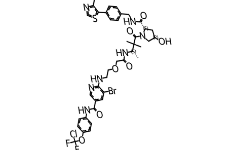 Cc1ncsc1-c1ccc(CNC(=O)[C@@H]2C[C@@H](O)CN2C(=O)C(C)(C)[C@H](C)NC(=O)COCCNc2ncc(C(=O)Nc3ccc(OC(F)(F)Cl)cc3)cc2Br)cc1